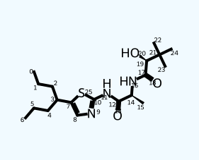 CCCC(CCC)c1cnc(NC(=O)[C@H](C)NC(=O)[C@@H](O)C(C)(C)C)s1